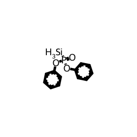 O=P([SiH3])(Oc1ccccc1)Oc1ccccc1